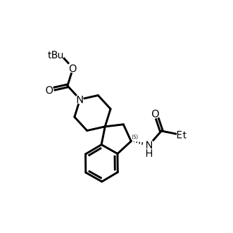 CCC(=O)N[C@H]1CC2(CCN(C(=O)OC(C)(C)C)CC2)c2ccccc21